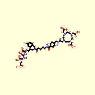 O=C(O)CC[C@@H](NC(=O)N[C@H](CCCCN(Cc1ccc(Br)cc1)C(=O)CCCCNC(=O)c1ccc(CNC(=O)CN2CCN(CC(=O)O)CCN(CC(=O)O)CCN(CC(=O)O)CC2)cc1)C(=O)O)C(=O)O